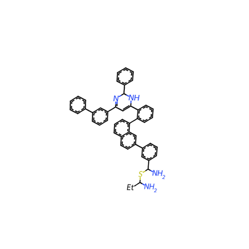 CCC(N)SC(N)c1cccc(-c2ccc3cccc(-c4ccccc4C4=CC(c5cccc(-c6ccccc6)c5)=NC(c5ccccc5)N4)c3c2)c1